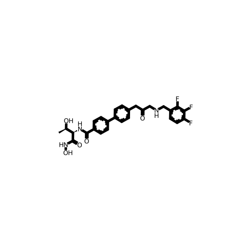 C[C@@H](O)[C@H](NC(=O)c1ccc(-c2ccc(CC(=O)CNCc3ccc(F)c(F)c3F)cc2)cc1)C(=O)NO